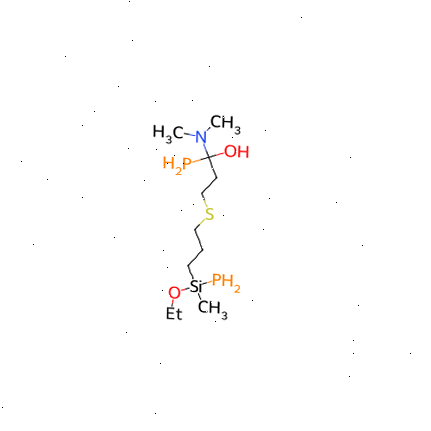 CCO[Si](C)(P)CCCSCCC(O)(P)N(C)C